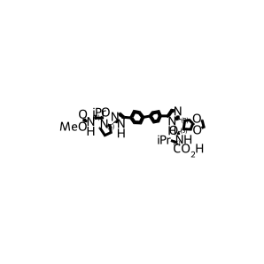 COC(=O)N[C@H](C(=O)N1CCC[C@H]1c1ncc(-c2ccc(-c3ccc(-c4cnc([C@@H]5CC6(C[C@@H]5C(=O)N[C@H](C(=O)O)C(C)C)OCCO6)[nH]4)cc3)cc2)[nH]1)C(C)C